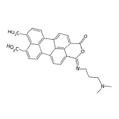 CN(C)CCCN=C1OC(=O)c2ccc3c4ccc(C(=O)O)c5c(C(=O)O)ccc(c6ccc1c2c36)c54